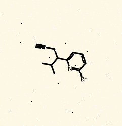 C#CCC(c1cccc(Br)n1)C(C)C